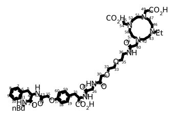 CCCCNC(=O)C(Cc1ccccc1)NC(=O)COc1ccc(CC(NC(=O)CNC(=O)COCCOCCNC(=O)CN2CCN(CC)CCN(CC(=O)O)CCN(CC(=O)O)CC2)C(=O)O)cc1